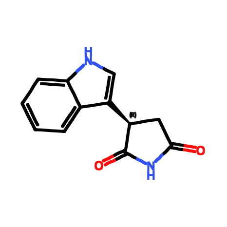 O=C1C[C@H](c2c[nH]c3ccccc23)C(=O)N1